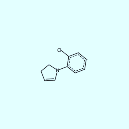 Clc1c[c]ccc1N1C=CCC1